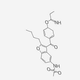 CCCCc1oc2ccc(NS(C)(=O)=O)cc2c1C(=O)C1=CCC(OC(=N)CC)C=C1